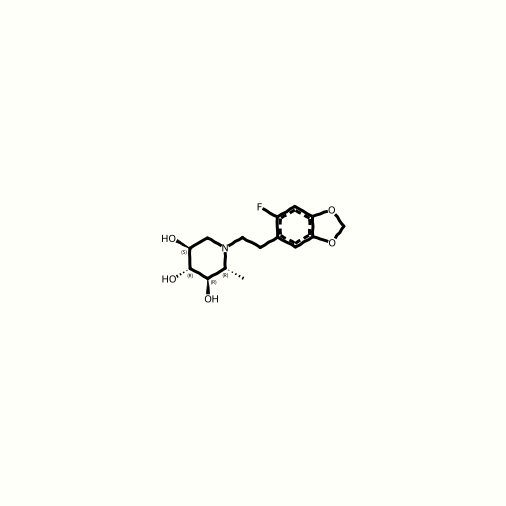 C[C@@H]1[C@@H](O)[C@H](O)[C@@H](O)CN1CCc1cc2c(cc1F)OCO2